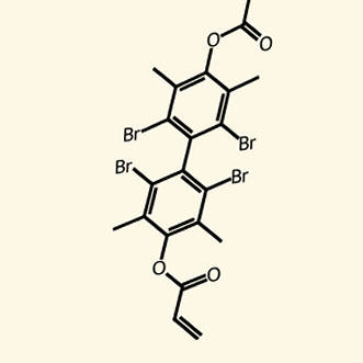 C=CC(=O)Oc1c(C)c(Br)c(-c2c(Br)c(C)c(OC(=O)C=C)c(C)c2Br)c(Br)c1C